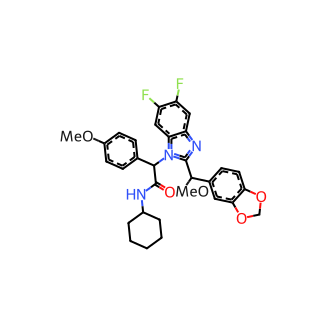 COc1ccc(C(C(=O)NC2CCCCC2)n2c(C(OC)c3ccc4c(c3)OCO4)nc3cc(F)c(F)cc32)cc1